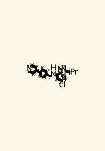 CC(C)c1nnc2c(NCc3ccc(-c4ccncc4)cc3)cc(Cl)nn12